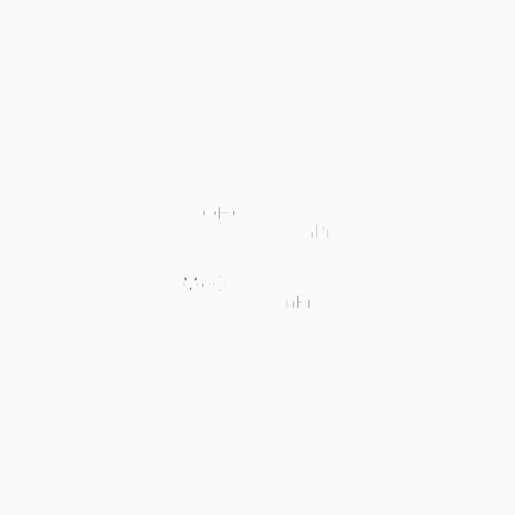 CCCC([C]=O)(CCC)OC